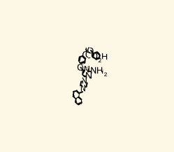 CC(Cc1ccc(Oc2cc(N3CCN(Cc4cccc5ccccc45)CC3)nc(N)n2)cc1)(Oc1ccccc1)C(=O)O